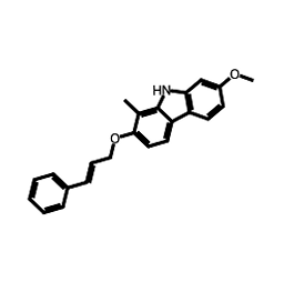 COc1ccc2c(c1)[nH]c1c(C)c(OC/C=C/c3ccccc3)ccc12